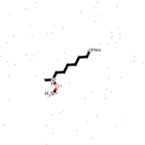 CCCCCCCCCCCC[SiH](C)O[SiH3]